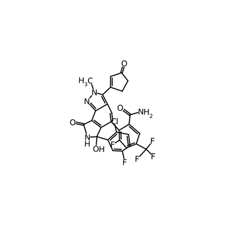 Cn1nc2c3c(c(-c4c(F)cc(C(F)(F)F)cc4C(N)=O)cc2c1C1=CC(=O)CC1)C(O)(c1cc(F)ccc1Cl)NC3=O